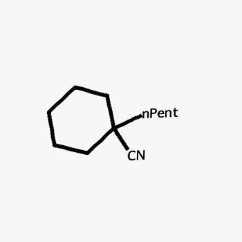 CCCCCC1(C#N)CCCCC1